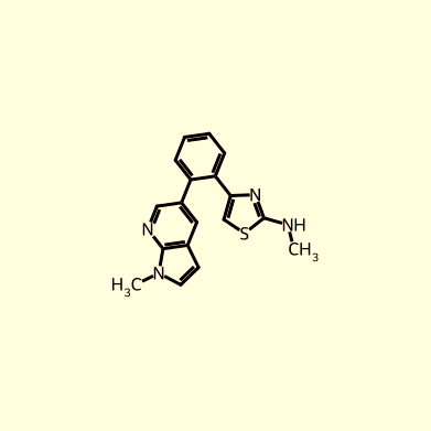 CNc1nc(-c2ccccc2-c2cnc3c(ccn3C)c2)cs1